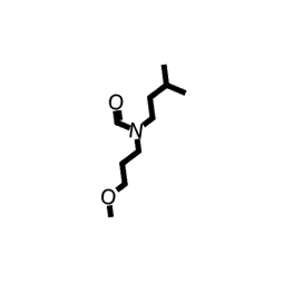 COCCCN(C=O)CCC(C)C